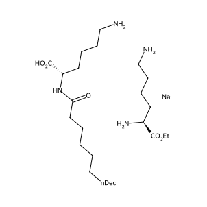 CCCCCCCCCCCCCCCC(=O)N[C@@H](CCCCN)C(=O)O.CCOC(=O)[C@@H](N)CCCCN.[Na]